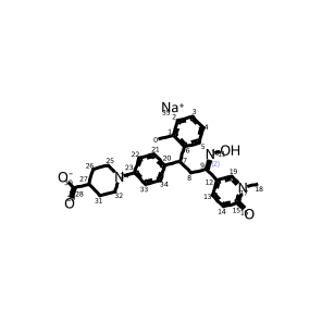 Cc1ccccc1C(C/C(=N/O)c1ccc(=O)n(C)c1)c1ccc(N2CCC(C(=O)[O-])CC2)cc1.[Na+]